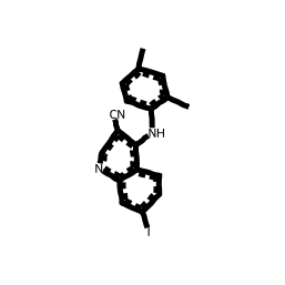 Cc1ccc(Nc2c(C#N)cnc3cc(I)ccc23)c(C)c1